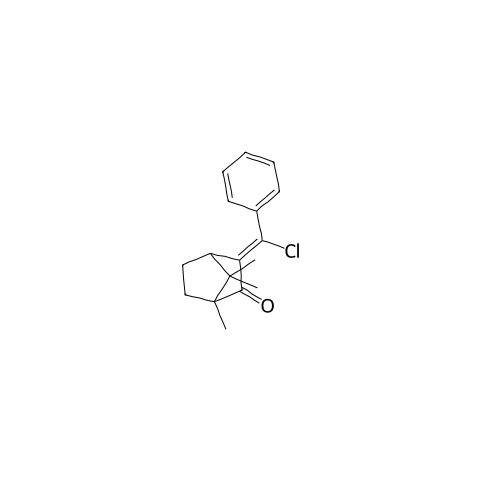 CC12CCC(C(=C(Cl)c3ccccc3)C1=O)C2(C)C